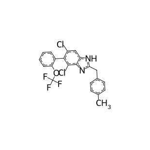 Cc1ccc(Cc2nc3c(Cl)c(-c4ccccc4OC(F)(F)F)c(Cl)cc3[nH]2)cc1